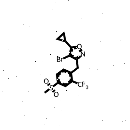 CS(=O)(=O)c1ccc(Cc2noc(C3CC3)c2Br)c(C(F)(F)F)c1